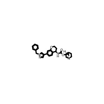 O=C(NC1CCOc2cc(-c3cnn(Cc4ccccc4)c3)ccc21)O[C@@H]1CN2CCC1CC2